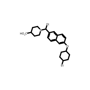 CCC1CCC(Oc2ccc3cc(C(CC)N4CCC(C(=O)O)CC4)ccc3c2)CC1